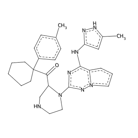 Cc1ccc(C2(C(=O)C3CNCCN3c3nc(Nc4cc(C)[nH]n4)c4cccn4n3)CCCCC2)cc1